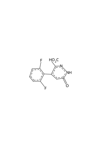 O=C(O)c1n[nH]c(=O)cc1-c1c(F)cccc1F